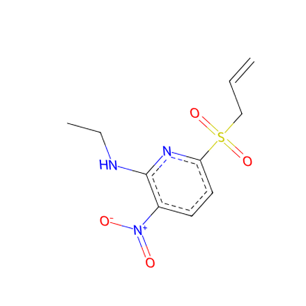 C=CCS(=O)(=O)c1ccc([N+](=O)[O-])c(NCC)n1